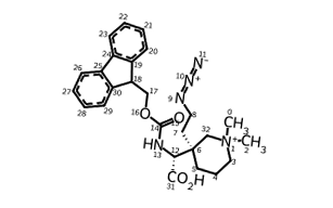 C[N+]1(C)CCC[C@@](CCN=[N+]=[N-])([C@@H](NC(=O)OCC2c3ccccc3-c3ccccc32)C(=O)O)C1